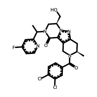 CC(c1cc(F)ccn1)N1C[C@@H](CO)n2nc3c(c2C1=O)CN(C(=O)c1ccc(Cl)c(Cl)c1)[C@H](C)C3